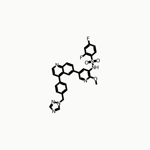 COc1ncc(-c2ccc3nccc(-c4ccc(Cn5cncn5)cc4)c3c2)cc1NS(=O)(=O)c1ccc(F)cc1F